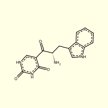 N[C@@H](Cc1c[nH]c2ccccc12)C(=O)c1c[nH]c(=O)[nH]c1=O